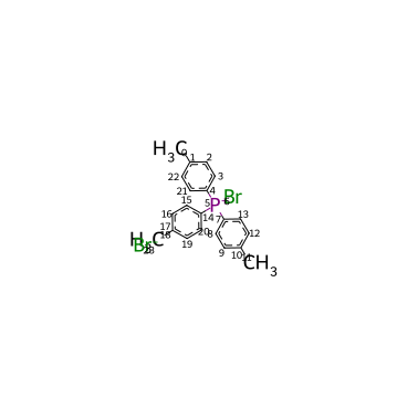 Cc1ccc([P+](Br)(c2ccc(C)cc2)c2ccc(C)cc2)cc1.[Br-]